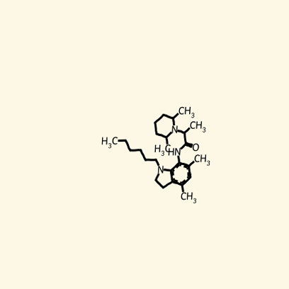 CCCCCCN1CCc2c(C)cc(C)c(NC(=O)C(C)N3C(C)CCCC3C)c21